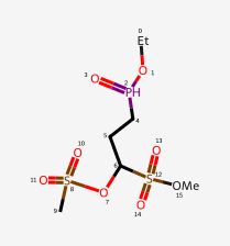 CCO[PH](=O)CCC(OS(C)(=O)=O)S(=O)(=O)OC